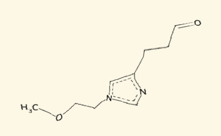 COCCn1cnc(CCC=O)c1